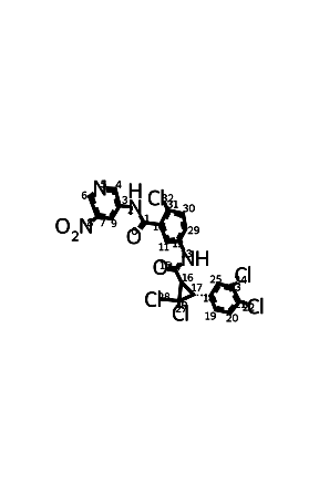 O=C(Nc1cncc([N+](=O)[O-])c1)c1cc(NC(=O)C2[C@H](c3ccc(Cl)c(Cl)c3)C2(Cl)Cl)ccc1Cl